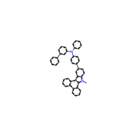 Cn1c2ccc(-c3ccc(N(c4ccccc4)c4cccc(-c5ccccc5)c4)cc3)cc2c2c3ccccc3c3ccccc3c21